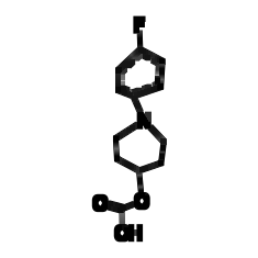 O=C(O)OC1CCN(c2ccc(F)cc2)CC1